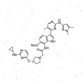 COc1ccc2c(-c3nc(Nc4cc(C)n(C)n4)ncc3C)c[nH]c2c1NC(=O)CN1CC[C@H](Oc2ccnc(NC3CC3)n2)C1